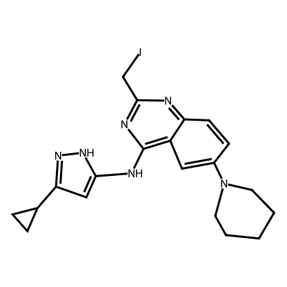 ICc1nc(Nc2cc(C3CC3)n[nH]2)c2cc(N3CCCCC3)ccc2n1